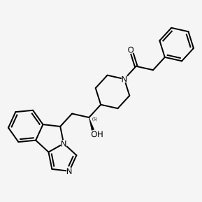 O=C(Cc1ccccc1)N1CCC([C@@H](O)CC2c3ccccc3-c3cncn32)CC1